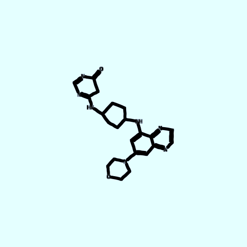 O=C1CC(NC2CCC(Nc3cc(N4CCOCC4)cc4nccnc34)CC2)=NC=N1